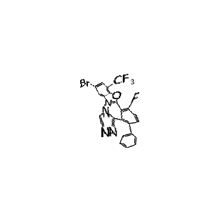 Cn1cnnc1-c1c(-c2ccccc2)ccc(F)c1-c1nc2cc(Br)cc(C(F)(F)F)c2o1